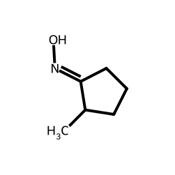 CC1CCCC1=NO